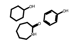 O=C1CCCCCN1.OC1CCCCC1.Oc1ccccc1